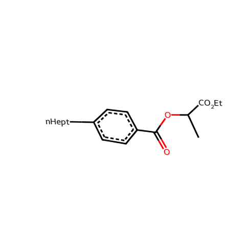 CCCCCCCc1ccc(C(=O)OC(C)C(=O)OCC)cc1